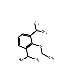 CCOc1c([C](C)C)cccc1C(C)C